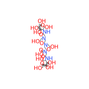 O=C(O)CN(CCN(CC(=O)O)CC(=O)NC1C(O)O[C@@H](CO)[C@@H](O)[C@@H]1O)CCN(CC(=O)NC1C(O)O[C@H](CO)[C@H](O)[C@H]1O)C(=O)O